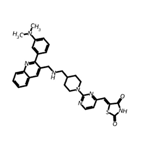 CN(C)c1cccc(-c2nc3ccccc3cc2CNCC2CCN(c3nccc(/C=C4\SC(=O)NC4=O)n3)CC2)c1